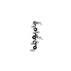 CN1CC(C(=O)Nc2ccc(NCc3nccn3C)nc2)c2cccc(CN3CCNC(Cc4ccc(O)cc4)C3=O)c21